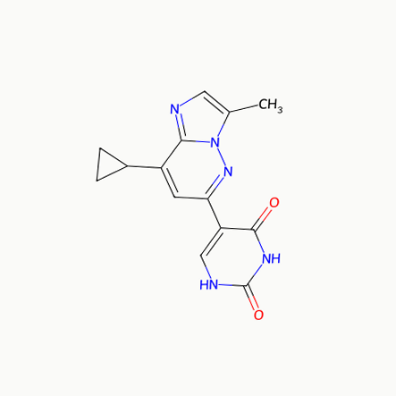 Cc1cnc2c(C3CC3)cc(-c3c[nH]c(=O)[nH]c3=O)nn12